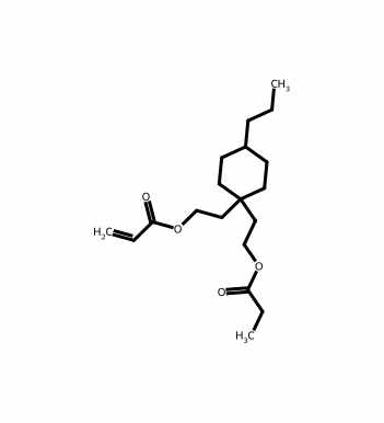 C=CC(=O)OCCC1(CCOC(=O)CC)CCC(CCC)CC1